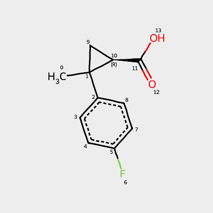 CC1(c2ccc(F)cc2)C[C@H]1C(=O)O